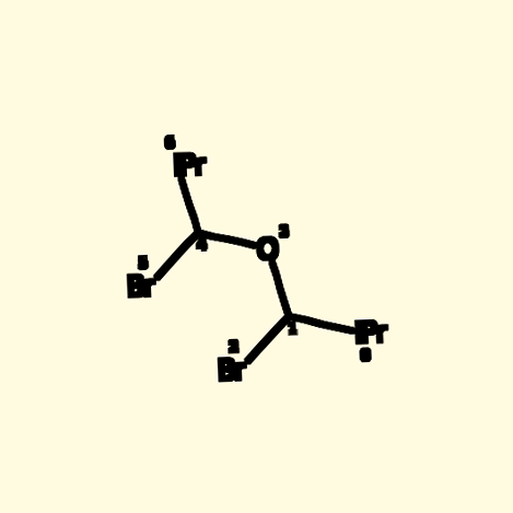 CC(C)C(Br)OC(Br)C(C)C